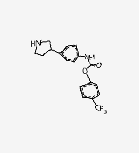 O=C(Nc1ccc(C2CCNC2)cc1)Oc1ccc(C(F)(F)F)cc1